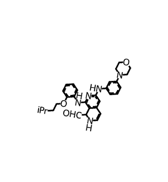 CC(C)CCOc1ccccc1Nc1nc(Nc2cccc(N3CCOCC3)c2)cc2c1C(C=O)NC=C2